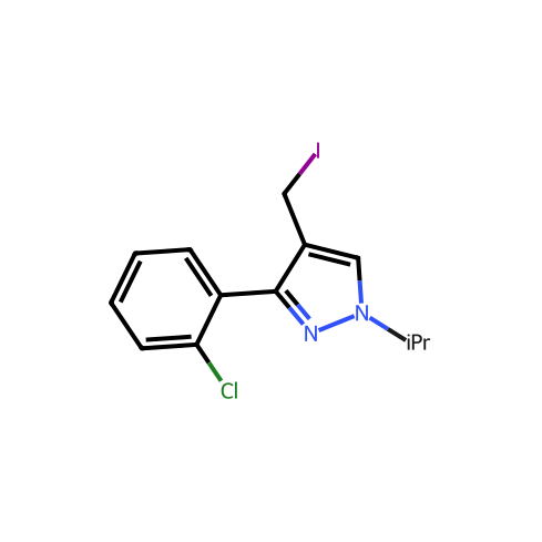 CC(C)n1cc(CI)c(-c2ccccc2Cl)n1